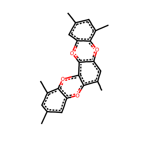 Cc1cc(C)c2oc3cc(C)c4oc5cc(C)cc(C)c5oc4c3oc2c1